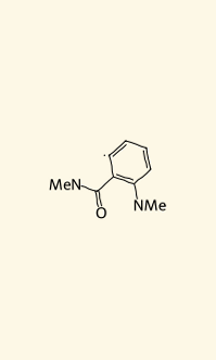 CNC(=O)c1[c]cccc1NC